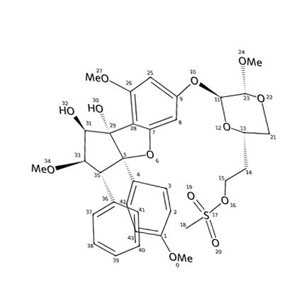 COc1ccc([C@@]23Oc4cc(O[C@@H]5O[C@@H](CCOS(C)(=O)=O)CO[C@H]5OC)cc(OC)c4[C@]2(O)[C@H](O)[C@H](OC)[C@H]3c2ccccc2)cc1